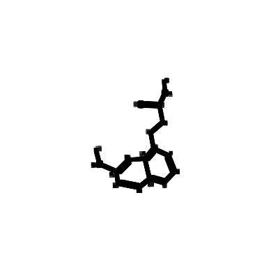 COC(=O)CCc1cccc2ccc(OC)cc12